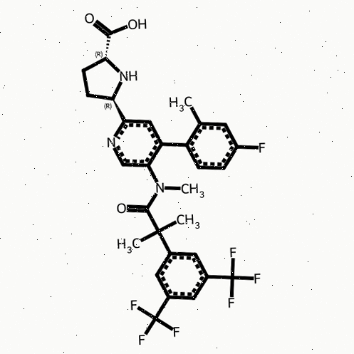 Cc1cc(F)ccc1-c1cc([C@H]2CC[C@H](C(=O)O)N2)ncc1N(C)C(=O)C(C)(C)c1cc(C(F)(F)F)cc(C(F)(F)F)c1